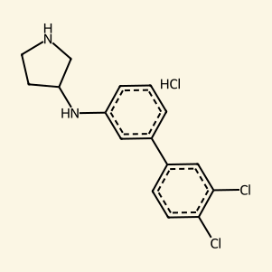 Cl.Clc1ccc(-c2cccc(NC3CCNC3)c2)cc1Cl